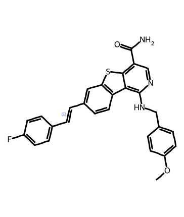 COc1ccc(CNc2ncc(C(N)=O)c3sc4cc(/C=C/c5ccc(F)cc5)ccc4c23)cc1